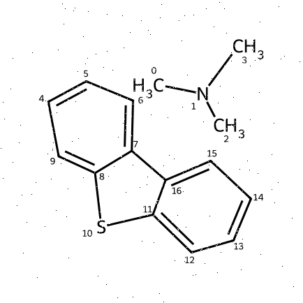 CN(C)C.c1ccc2c(c1)sc1ccccc12